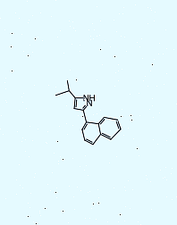 CC(C)c1cc(-c2cccc3ccccc23)n[nH]1